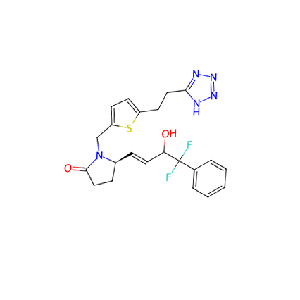 O=C1CC[C@H](C=CC(O)C(F)(F)c2ccccc2)N1Cc1ccc(CCc2nnn[nH]2)s1